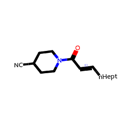 CCCCCCC/C=C/C(=O)N1CCC(C#N)CC1